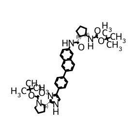 CC(C)(C)OC(=O)N[C@@H]1CCC[C@H]1C(=O)Nc1ccc2cc(-c3ccc(-c4c[nH]c([C@@H]5CCCN5C(=O)OC(C)(C)C)n4)cc3)ccc2c1